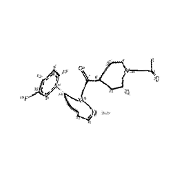 CC(=O)N1CCC(C(=O)N2N=CC[C@@H]2c2cccc(F)c2)CC1